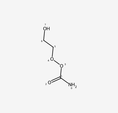 NC(=O)OOCCO